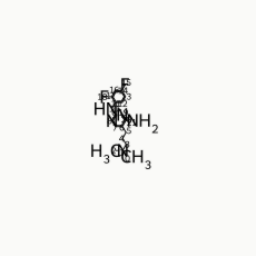 CN(C)CCCc1cnc(Nc2ccc(F)cc2F)nc1N